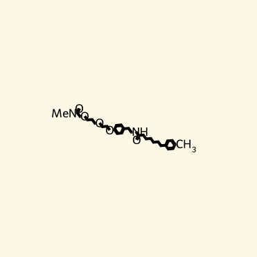 CNC(=O)COCCCOCCOc1ccc(CCNC(=O)CCCCCCc2ccc(C)cc2)cc1